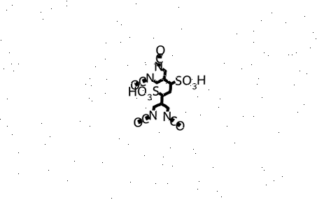 O=C=NCC(CN=C=O)C(CC(C(CN=C=O)CN=C=O)S(=O)(=O)O)S(=O)(=O)O